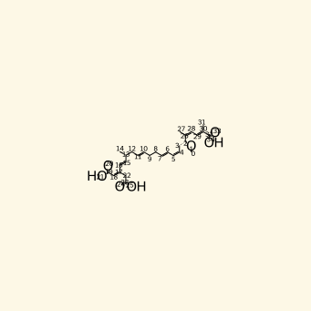 CO[C@H](C/C=C\C=C\CC/C=C/C[C@H](C)/C=C/C(=C\C(=O)O)CC(=O)O)/C(C)=C\C=C(/C)C(=O)O